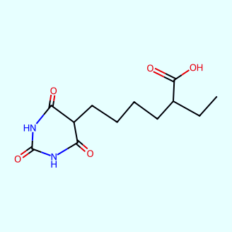 CCC(CCCCC1C(=O)NC(=O)NC1=O)C(=O)O